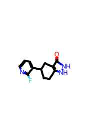 O=c1[nH][nH]c2c1CC(c1cccnc1F)CC2